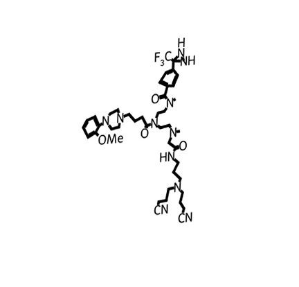 COc1ccccc1N1CCN(CCCC(=O)N(CCN(C)CC(=O)NCCCN(CCCC#N)CCCC#N)CCN(C)C(=O)c2ccc(C3(C(F)(F)F)NN3)cc2)CC1